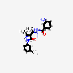 CC1=NN(c2cccc(C(F)(F)F)c2)C(=O)/C1=C(/C)NNC(=O)c1cccc(N)c1